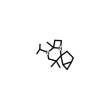 CC(C)N1CC(C)(C)C2(CCC3CC32)N2CCC12C